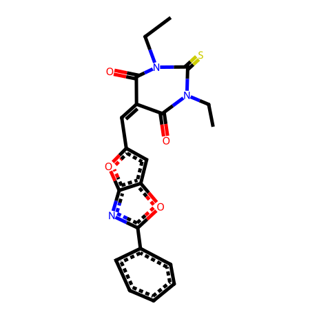 CCN1C(=O)C(=Cc2cc3oc(-c4ccccc4)nc3o2)C(=O)N(CC)C1=S